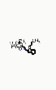 CCCCn1c(/C=C/C(=O)OC(C)(C)C)cc2ccccc21